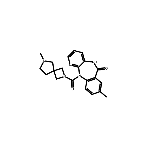 Cc1ccc2c(c1)C(=O)Nc1cccnc1N2C(=O)N1CC2(CCN(C)C2)C1